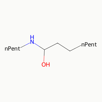 CCCCCCCC(O)NCCCCC